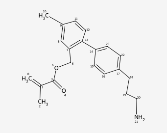 C=C(C)C(=O)OCc1cc(C)ccc1-c1ccc(CCCN)cc1